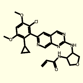 C=CC(=O)NC1COCC1Nc1ncc2cc(-c3c(Cl)c(OC)cc(OC)c3C3CC3)ncc2n1